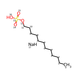 CCCCCCCCCCCCOS(=O)(=O)O.[NaH]